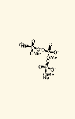 COP(=O)([O-])[O-].COP(=O)([O-])[O-].COP(=O)([O-])[O-].[Na+].[Na+].[Ti+4]